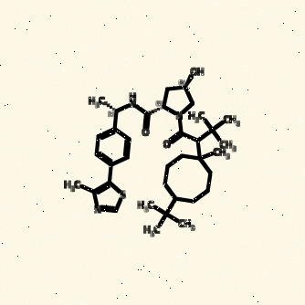 Cc1ncsc1-c1ccc([C@H](C)NC(=O)[C@@H]2C[C@@H](O)CN2C(=O)C(C(C)(C)C)C2(C)CCCC(C(C)(C)C)CCC2)cc1